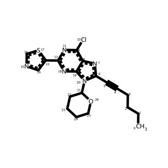 CCCCC#Cc1nc2c(Cl)nc(-c3cncs3)nc2n1C1CCCCO1